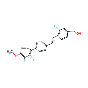 COc1ccc(-c2ccc(/C=C/c3ccc(CO)cc3F)cc2)c(F)c1F